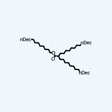 CCCCCCCCCCCCCCCCCCOC(=O)C(CCCCCCCCCCCCCCCCCC)CCCCCCCCCCCCCCCCCC